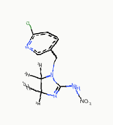 [2H]C1([2H])N=C(N[N+](=O)[O-])N(Cc2ccc(Cl)nc2)C1([2H])[2H]